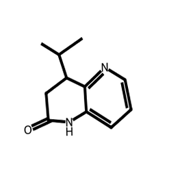 CC(C)C1CC(=O)Nc2cccnc21